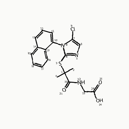 CC(C)(Sc1ncc(Cl)n1-c1cccc2ccccc12)C(=O)NCC(=O)O